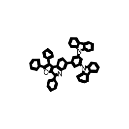 c1ccc(-c2oc3c(-c4ccccc4)nc4cc(-c5cc(-n6c7ccccc7c7ccccc76)cc(-n6c7ccccc7c7ccccc76)c5)ccc4c3c2-c2ccccc2)cc1